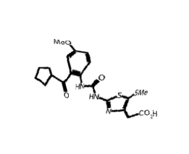 COc1ccc(NC(=O)Nc2nc(CC(=O)O)c(SC)s2)c(C(=O)C2CCCC2)c1